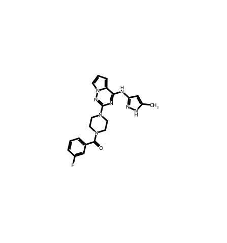 Cc1cc(Nc2nc(N3CCN(C(=O)c4cccc(F)c4)CC3)nn3cccc23)n[nH]1